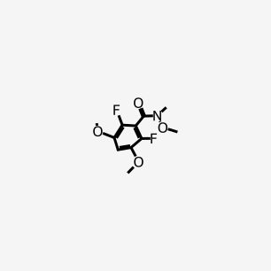 COc1cc(OC)c(F)c(C(=O)N(C)OC)c1F